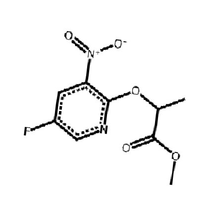 COC(=O)C(C)Oc1ncc(F)cc1[N+](=O)[O-]